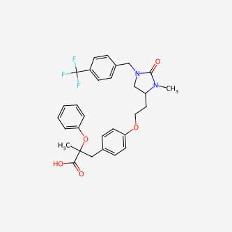 CN1C(=O)N(Cc2ccc(C(F)(F)F)cc2)CC1CCOc1ccc(CC(C)(Oc2ccccc2)C(=O)O)cc1